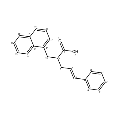 O=C(O)C(CC=Cc1ccccc1)Cc1cccc2ccccc12